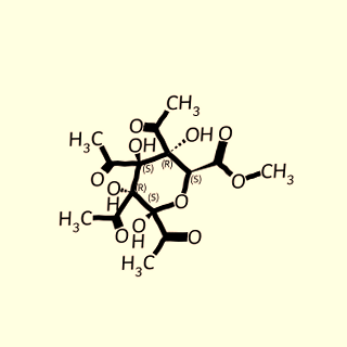 COC(=O)[C@H]1O[C@](O)(C(C)=O)[C@@](O)(C(C)=O)[C@](O)(C(C)=O)[C@@]1(O)C(C)=O